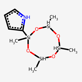 C[SiH]1O[SiH](C)O[Si](C)(c2ccc[nH]2)O[SiH](C)O1